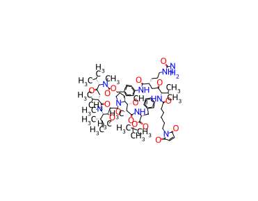 CC[C@H](C)[C@@H]([C@@H](CC(=O)N1CCC[C@H]1[C@H](OC)[C@@H](C)C(=O)N[C@@H](Cc1ccccc1)C(=O)OC(C)(C)C)OC)N(C)C(=O)[C@@H](CC(=O)[C@H](C(C)C)N(C)C(=O)OCc1ccc(NC(=O)[C@H](CCCNC(N)=O)CC(=O)[C@@H](NC(=O)CCCCCN2C(=O)C=CC2=O)C(C)C)cc1)C(C)C